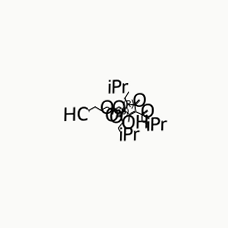 C#CCCOC(=O)O[C@]1(C(=O)CCC(C)C)C(O)=C(C(=O)CC(C)C)C(=O)[C@@H]1CCC(C)C